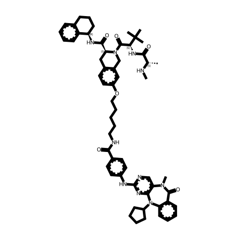 CN[C@@H](C)C(=O)N[C@H](C(=O)N1Cc2cc(OCCCCCNC(=O)c3ccc(Nc4ncc5c(n4)N(C4CCCC4)c4ccccc4C(=O)N5C)cc3)ccc2C[C@H]1C(=O)N[C@@H]1CCCc2ccccc21)C(C)(C)C